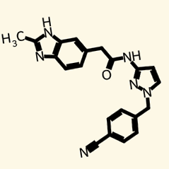 Cc1nc2ccc(CC(=O)Nc3ccn(Cc4ccc(C#N)cc4)n3)cc2[nH]1